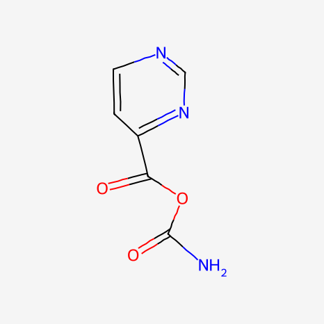 NC(=O)OC(=O)c1ccncn1